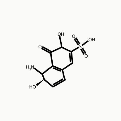 NC1C2=C(C=C[C@H]1O)C=C(S(=O)(=O)O)C(O)C2=O